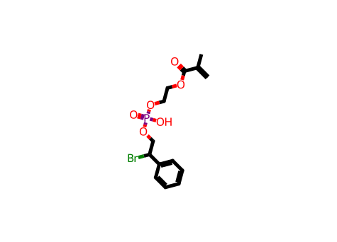 C=C(C)C(=O)OCCOP(=O)(O)OCC(Br)c1ccccc1